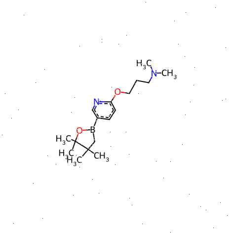 CN(C)CCCOc1ccc(B2CC(C)(C)C(C)(C)O2)cn1